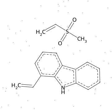 C=CS(C)(=O)=O.C=Cc1cccc2c1[nH]c1ccccc12